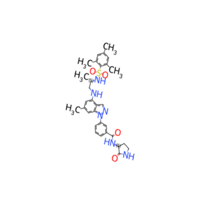 Cc1cc(C)c(S(=O)(=O)N[C@@H](C)CNc2cc(C)cc3c2cnn3-c2cccc(C(=O)N[C@H]3CCNC3=O)c2)c(C)c1